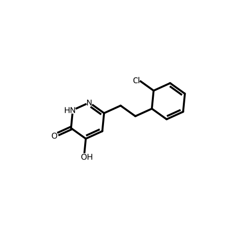 O=c1[nH]nc(CCC2C=CC=CC2Cl)cc1O